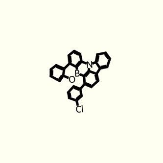 Clc1cccc(-c2ccc3c4ccccc4n4c3c2B2Oc3ccccc3-c3cccc-4c32)c1